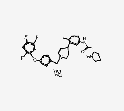 Cc1ccc(NC(=O)C[C@@H]2CCCN2)cc1C1CCN(Cc2ccc(Oc3cc(F)c(F)cc3F)cc2)CC1.Cl.Cl